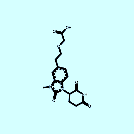 Cn1c(=O)n(C2CCC(=O)NC2=O)c2ccc(CCOCC(=O)O)cc21